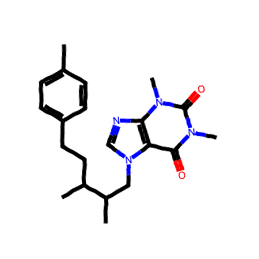 Cc1ccc(CCC(C)C(C)Cn2cnc3c2c(=O)n(C)c(=O)n3C)cc1